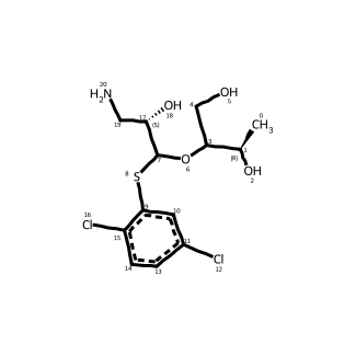 C[C@@H](O)C(CO)OC(Sc1cc(Cl)ccc1Cl)[C@@H](O)CN